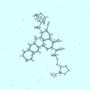 CN1CCCC1CCNC(=O)c1cn2c3c(c(NC4CN5CCC4CC5)c(F)cc3c1=O)Oc1cc3ccccc3cc1-2